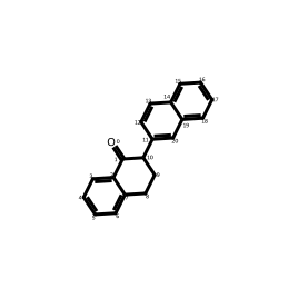 O=C1c2ccccc2CCC1c1ccc2ccccc2c1